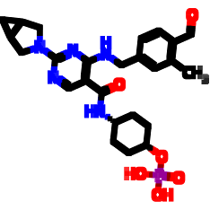 Cc1cc(CNc2nc(N3CC4CC4C3)ncc2C(=O)N[C@H]2CC[C@H](OP(=O)(O)O)CC2)ccc1C=O